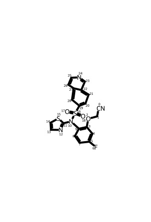 N#CCOc1cc(F)ccc1N(c1nccs1)S(=O)(=O)c1ccc2cnccc2c1